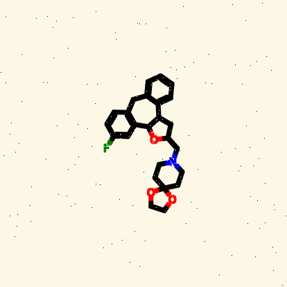 Fc1ccc2c(c1)C1OC(CN3CCC4(CC3)OCCO4)CC1c1ccccc1C2